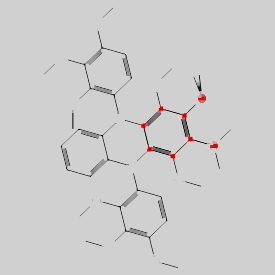 COc1ccc(P(c2ccccc2P(c2ccc(OC)c(OC)c2OC)c2ccc(OC)c(OC)c2OC)c2ccc(OC)c(OC)c2OC)c(OC)c1OC